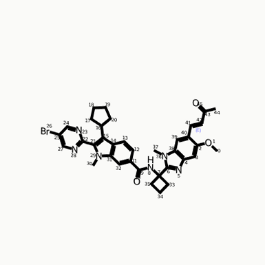 COc1cc2nc(C3(NC(=O)c4ccc5c(C6CCCC6)c(-c6ncc(Br)cn6)n(C)c5c4)CCC3)n(C)c2cc1/C=C/C(C)=O